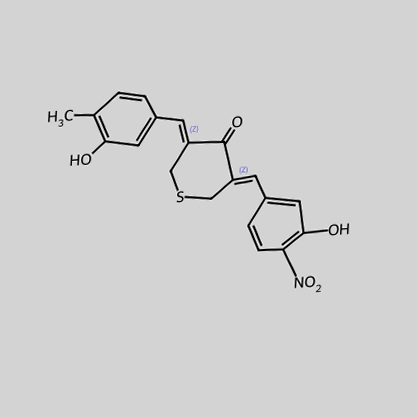 Cc1ccc(/C=C2\CSC/C(=C\c3ccc([N+](=O)[O-])c(O)c3)C2=O)cc1O